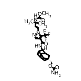 COC(=O)NC(C)(C)/C=C/n1ncc(C(=O)N[C@H]2C3CC4CC2C[C@](COC(N)=O)(C4)C3)c1C(F)(F)F